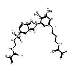 C=C(C)C(=O)OCCCOc1cc(-n2nc3ccc(S(=O)(=O)CCOC(=O)C(=C)C)cc3n2)c(O)c(C(C)(C)C)c1